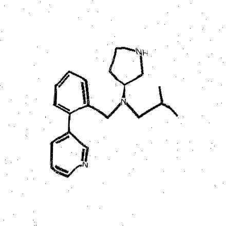 CC(C)CN(Cc1ccccc1-c1cccnc1)[C@H]1CCNC1